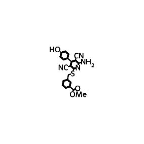 COC(=O)c1cccc(CSc2nc(N)c(C#N)c(-c3ccc(O)cc3)c2C#N)c1